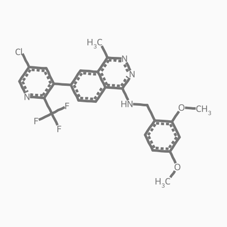 COc1ccc(CNc2nnc(C)c3cc(-c4cc(Cl)cnc4C(F)(F)F)ccc23)c(OC)c1